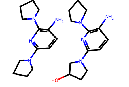 Nc1ccc(N2CCC(O)C2)nc1N1CCCC1.Nc1ccc(N2CCCC2)nc1N1CCCC1